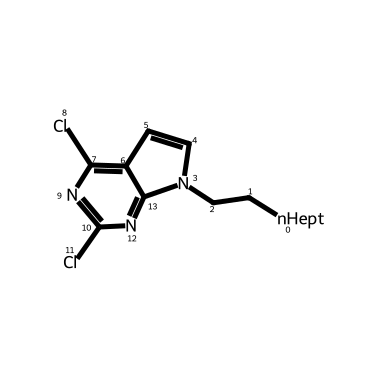 CCCCCCCCCn1ccc2c(Cl)nc(Cl)nc21